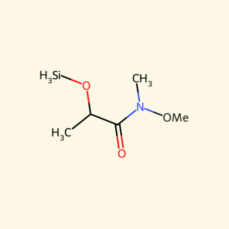 CON(C)C(=O)C(C)O[SiH3]